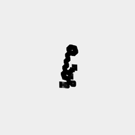 N#Cc1nc(C(=O)O)ccc1CCCCCc1ccccc1